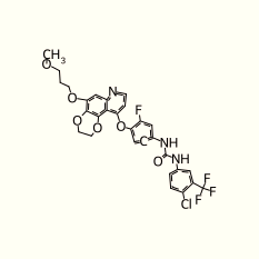 COCCCOc1cc2nccc(Oc3ccc(NC(=O)Nc4ccc(Cl)c(C(F)(F)F)c4)cc3F)c2c2c1OCCO2